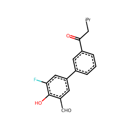 CC(C)CC(=O)c1cccc(-c2cc(F)c(O)c(C=O)c2)c1